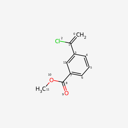 C=C(Cl)c1cccc(C(=O)OC)c1